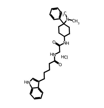 CN(C)C1(c2ccccc2)CCC(NC(=O)CNC(=O)CCCCc2c[nH]c3ccccc23)CC1.Cl